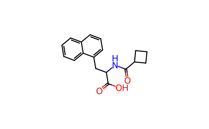 O=C(NC(Cc1cccc2ccccc12)C(=O)O)C1CCC1